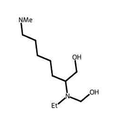 CCN(CO)C(CO)CCCCCNC